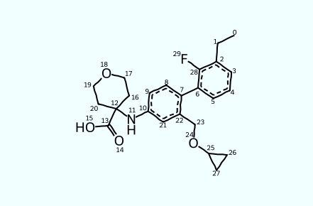 CCc1cccc(-c2ccc(NC3(C(=O)O)CCOCC3)cc2COC2CC2)c1F